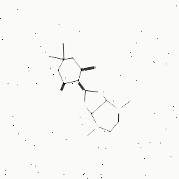 CN1CCN(C)C2SC(=C3C(=O)CC(C)(C)CC3=O)SC21